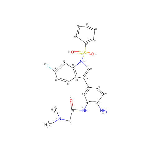 CN(C)CC(=O)Nc1cc(-c2cn(S(=O)(=O)c3ccccc3)c3cc(F)ccc23)ccc1N